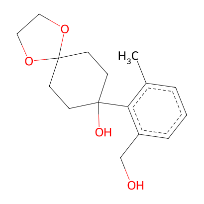 Cc1cccc(CO)c1C1(O)CCC2(CC1)OCCO2